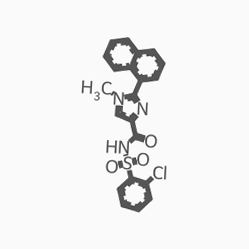 Cn1cc(C(=O)NS(=O)(=O)c2ccccc2Cl)nc1-c1cccc2ccccc12